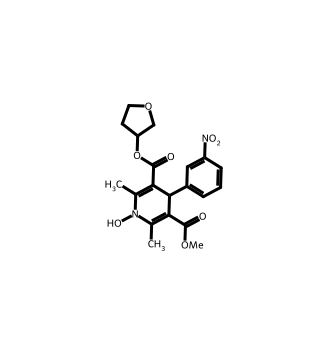 COC(=O)C1=C(C)N(O)C(C)=C(C(=O)OC2CCOC2)C1c1cccc([N+](=O)[O-])c1